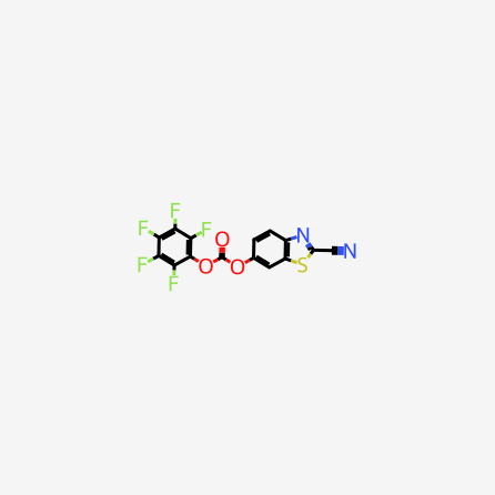 N#Cc1nc2ccc(OC(=O)Oc3c(F)c(F)c(F)c(F)c3F)cc2s1